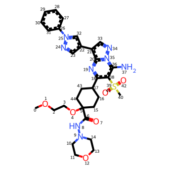 COCCOC1(C(=O)NN2CCOCC2)CCC(c2nc3c(-c4cnn(-c5ccccc5)c4)cnn3c(N)c2S(C)(=O)=O)CC1